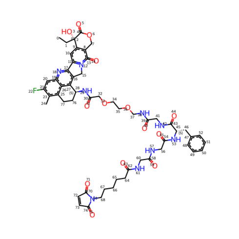 CC[C@@]1(O)C(=O)OCc2c1cc1n(c2=O)Cc2c-1nc1cc(F)c(C)c3c1c2[C@@H](NC(=O)COCCOCNC(=O)CNC(=O)[C@H](Cc1ccccc1)NC(=O)CNC(=O)CNC(=O)CCCCCN1C(=O)C=CC1=O)CC3